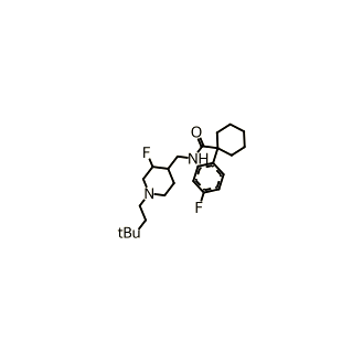 CC(C)(C)CCN1CCC(CNC(=O)C2(c3ccc(F)cc3)CCCCC2)C(F)C1